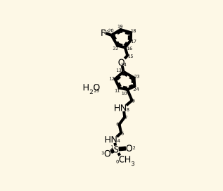 CS(=O)(=O)NCCCNCc1ccc(OCc2cccc(F)c2)cc1.O